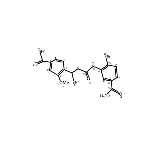 CCCC(=O)c1ccc(C(CCC)CC(=O)Nc2cc(C(N)=O)ccc2C(C)(C)C)c(OC)c1